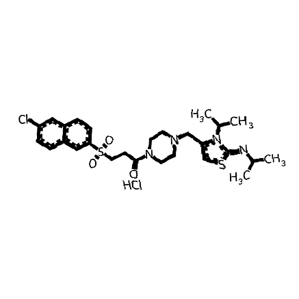 CC(C)N=c1scc(CN2CCN(C(=O)CCS(=O)(=O)c3ccc4cc(Cl)ccc4c3)CC2)n1C(C)C.Cl